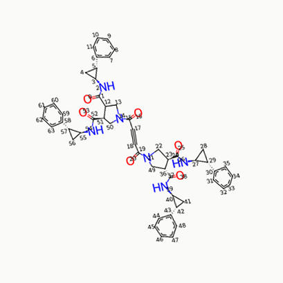 O=C(N[C@H]1C[C@@H]1c1ccccc1)C1CN(C(=O)C#CC(=O)N2C[C@@H](C(=O)N[C@H]3C[C@@H]3c3ccccc3)[C@H](C(=O)N[C@H]3C[C@@H]3c3ccccc3)C2)C[C@H]1C(=O)N[C@H]1C[C@@H]1c1ccccc1